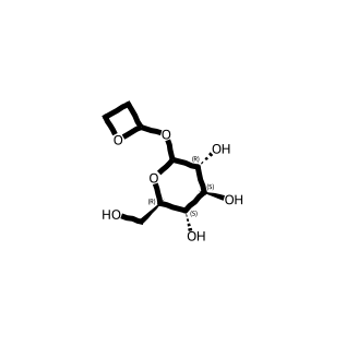 OC[C@H]1OC(OC2CCO2)[C@H](O)[C@@H](O)[C@@H]1O